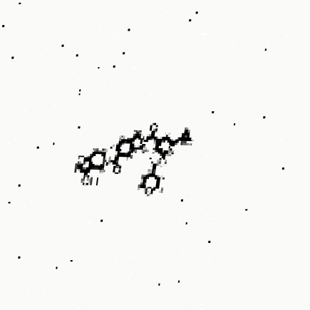 O=C(c1cc(OCC2CCOCC2)nc(C2CC2)c1)N1Cc2ccc(C(=O)N3CCc4onc(O)c4C3)cc2C1